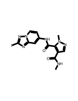 CNC(=O)c1cnn(C)c1C(=O)Nc1ccn2nc(I)nc2c1